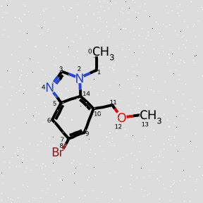 CCn1cnc2cc(Br)cc(COC)c21